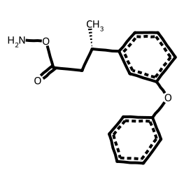 C[C@@H](CC(=O)ON)c1cccc(Oc2ccccc2)c1